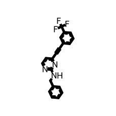 FC(F)(F)c1cccc(C#Cc2ccnc(NCc3ccccc3)n2)c1